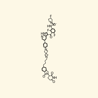 O=C1CCC(N2Cc3cc(CCCCN4CC5(C4)CN(c4ccc(-c6cnc7[nH]cc(C(=O)c8c(F)ccc(N[S+]([O-])N9CCC(F)C9)c8F)c7c6)cc4)C5)ccc3C2=O)C(=O)N1